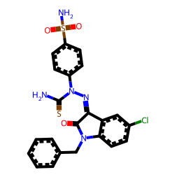 NC(=S)N(/N=C1\C(=O)N(Cc2ccccc2)c2ccc(Cl)cc21)c1ccc(S(N)(=O)=O)cc1